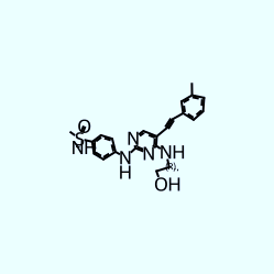 Cc1cccc(C#Cc2cnc(Nc3ccc(S(C)(=N)=O)cc3)nc2N[C@H](C)CO)c1